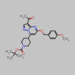 COc1ccc(COc2cc(C3CCN(C(=O)OC(C)(C)C)CC3)n3ncc(C(C)=O)c3n2)cc1